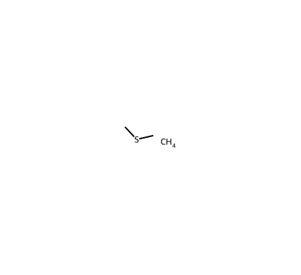 C.CSC